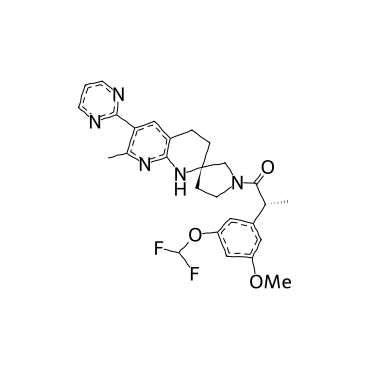 COc1cc(OC(F)F)cc([C@@H](C)C(=O)N2CC[C@@]3(CCc4cc(-c5ncccn5)c(C)nc4N3)C2)c1